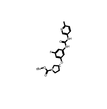 Cc1ccc(NC(=O)Nc2cc(F)cc(O[C@@H]3CCN(C(=O)OC(C)(C)C)C3)c2)cn1